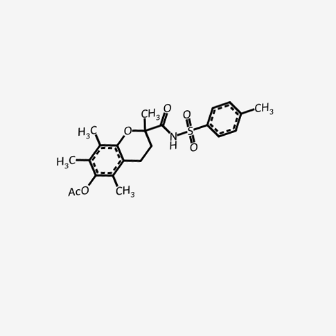 CC(=O)Oc1c(C)c(C)c2c(c1C)CCC(C)(C(=O)NS(=O)(=O)c1ccc(C)cc1)O2